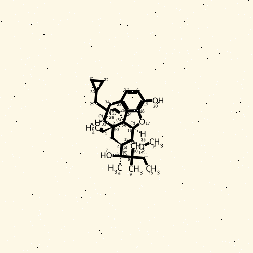 C=C[C@]12C[C@H]([C@](C)(O)C(C)(C)CC)[C@@H](OC)[C@@H]3Oc4c(O)ccc5c4[C@@]31CCN(CC1CC1)[C@@H]2C5